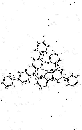 c1ccc(-c2ccc(N(c3ccc(-c4ccccc4)cc3)c3cccc4c3oc3c(-c5ccccc5)cc(-c5ccccc5)cc34)cc2)cc1